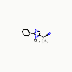 CC(C#N)c1cnc(C2=CCCC=C2)n1C